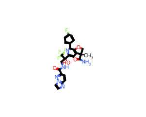 C[C@]1(C(N)=O)COc2c1cc([C@@](O)(CNC(=O)c1ccc3nccn3n1)C(F)(F)F)nc2-c1ccc(F)cc1